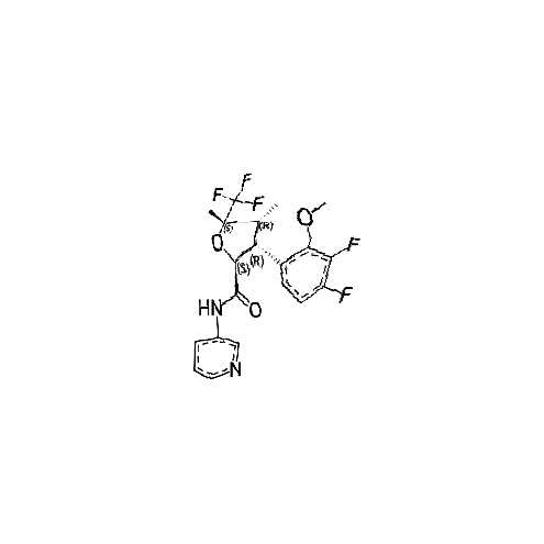 COc1c([C@@H]2[C@@H](C(=O)Nc3cccnc3)O[C@](C)(C(F)(F)F)[C@@H]2C)ccc(F)c1F